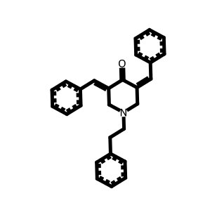 O=C1/C(=C\c2ccccc2)CN(CCc2ccccc2)C/C1=C\c1ccccc1